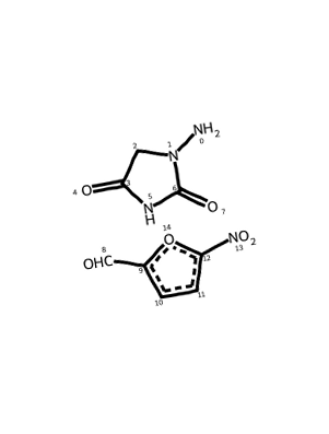 NN1CC(=O)NC1=O.O=Cc1ccc([N+](=O)[O-])o1